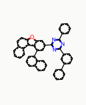 c1ccc(-c2cccc(-c3nc(-c4ccccc4)nc(-c4cc(-c5cccc6ccccc56)c5c(c4)oc4ccc6ccccc6c45)n3)c2)cc1